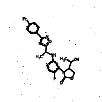 CC(C)c1ccc(-c2noc([C@H](C)Nc3ncc(F)c(N4C(=O)OCC4[C@@H](C)O)n3)n2)cc1